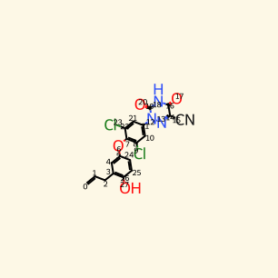 C=CCc1cc(Oc2c(Cl)cc(-n3nc(C#N)c(=O)[nH]c3=O)cc2Cl)ccc1O